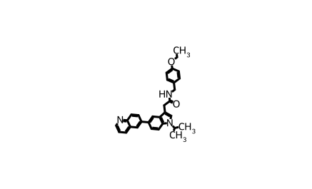 CCOc1ccc(CNC(=O)Cc2cn(C(C)C)c3ccc(-c4ccc5ncccc5c4)cc23)cc1